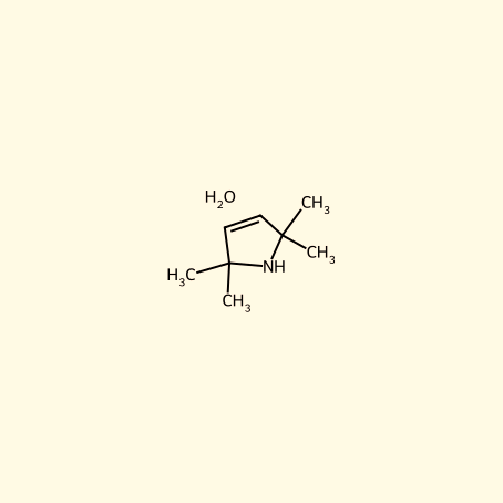 CC1(C)C=CC(C)(C)N1.O